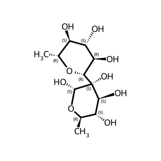 C[C@H]1O[C@H](O)[C@@](O)([C@@H]2O[C@H](C)[C@@H](O)[C@H](O)[C@H]2O)[C@@H](O)[C@@H]1O